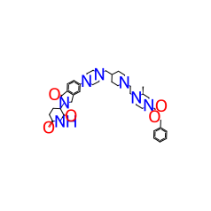 C[C@H]1CN(C(=O)OCc2ccccc2)CCN1CCN1CCC(CN2CCN(c3ccc4c(c3)CN(C3CCC(=O)NC3=O)C4=O)CC2)CC1